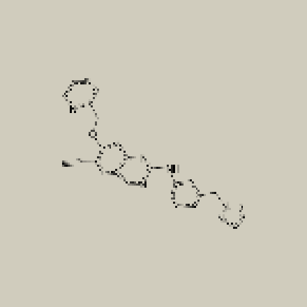 C#Cc1cc2cnc(Nc3cccc(Cn4cccn4)c3)nc2cc1OCc1cnccn1